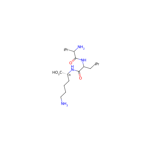 CC(C)CC(NC(=O)C(N)C(C)C)C(=O)N[C@H](CCCCN)C(=O)O